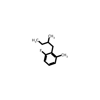 CCC(C)Cc1c(C)cccc1F